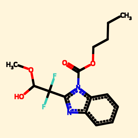 CCCCOC(=O)n1c(C(F)(F)C(O)OC)nc2ccccc21